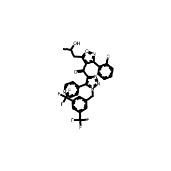 CC(O)Cc1onc(-c2ccccc2Cl)c1C(=O)c1nnn(Cc2cc(C(F)(F)F)cc(C(F)(F)F)c2)c1-c1ccncc1